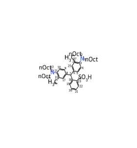 CCCCCCCCN(CCCCCCCC)c1ccc(C(c2ccc(N(CCCCCCCC)CCCCCCCC)c(C)c2)c2ccccc2S(=O)(=O)O)cc1C